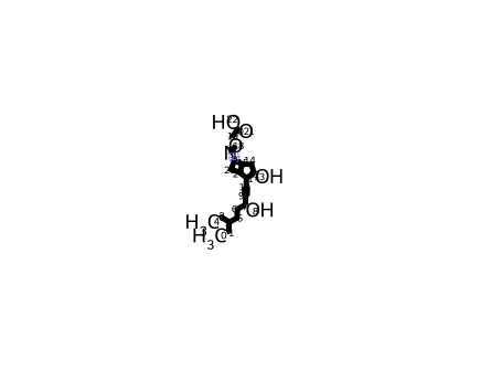 CCC(CC)CCC(O)C#CC1C(O)CC2/C(=N\OCC(=O)O)CC21